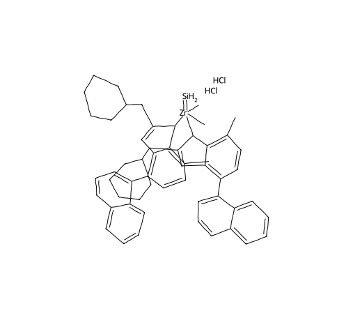 Cc1ccc(-c2cccc3ccccc23)c2c1[CH]([Zr]([CH3])([CH3])(=[SiH2])[CH]1C(CC3CCCCC3)=Cc3c(-c4cccc5ccccc45)ccc(C)c31)C(CC1CCCCC1)=C2.Cl.Cl